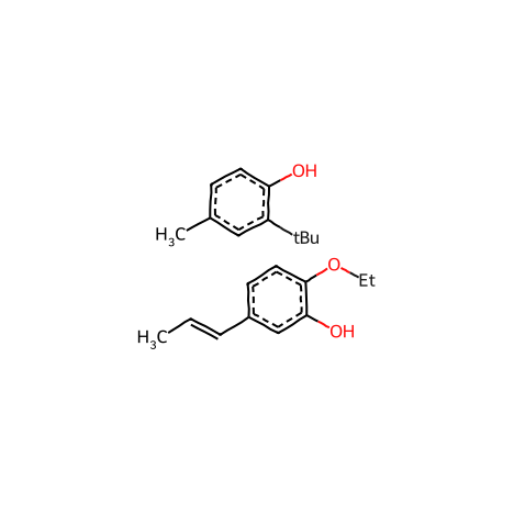 CC=Cc1ccc(OCC)c(O)c1.Cc1ccc(O)c(C(C)(C)C)c1